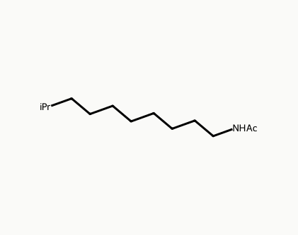 CC(=O)NCCCCCCCCC(C)C